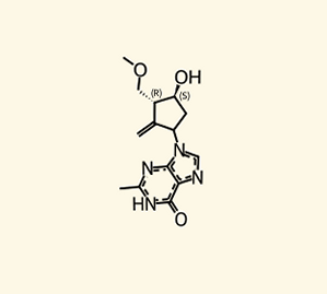 C=C1C(n2cnc3c(=O)[nH]c(C)nc32)C[C@H](O)[C@H]1COC